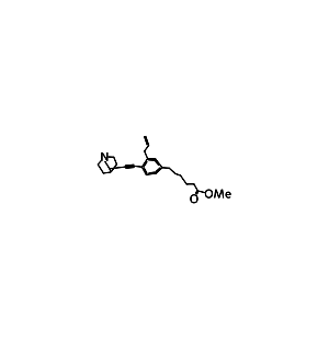 C=CCc1cc(CCCCCC(=O)OC)ccc1C#CC1CN2CCC1CC2